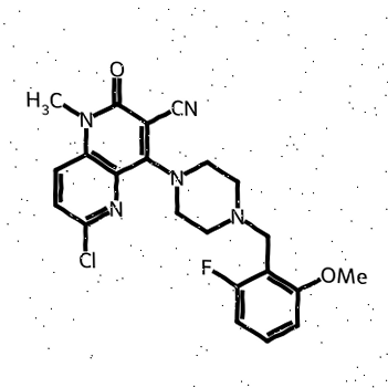 COc1cccc(F)c1CN1CCN(c2c(C#N)c(=O)n(C)c3ccc(Cl)nc23)CC1